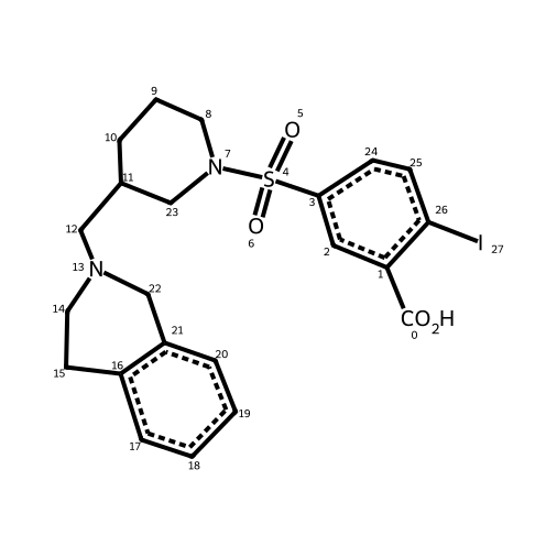 O=C(O)c1cc(S(=O)(=O)N2CCCC(CN3CCc4ccccc4C3)C2)ccc1I